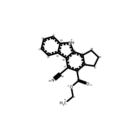 CCOC(=O)c1c2c(c3[nH]c4ccccc4c3c1C#N)CCC2